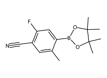 Cc1cc(C#N)c(F)cc1B1OC(C)(C)C(C)(C)O1